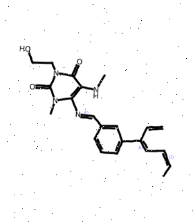 C=C/C(=C\C=C/C)c1cccc(/C=N/c2c(NC)c(=O)n(CCO)c(=O)n2C)c1